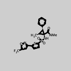 CNC(=O)[C@]1(NS(=O)(=O)c2ccc(-c3cc(C(F)(F)F)on3)s2)[C@H](C)[C@@H]1c1ccccc1